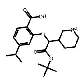 CC(C)c1ccc(C(=O)O)c(OC(C(=O)OC(C)(C)C)C2CCCNC2)c1